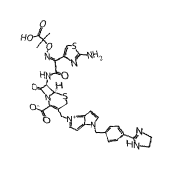 CC(C)(ON=C(C(=O)N[C@@H]1C(=O)N2C(C(=O)[O-])=C(C[n+]3ccc4c(ccn4Cc4ccc(C5=NCCN5)cc4)c3)CS[C@H]12)c1csc(N)n1)C(=O)O